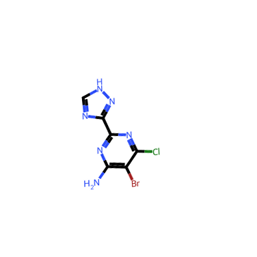 Nc1nc(-c2nc[nH]n2)nc(Cl)c1Br